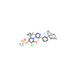 CC(=O)NC(C)(C)c1cccc(-c2ncc(C)c(-n3c(C)cc(OS(=O)(=O)C(F)(F)F)c(Cl)c3=O)c2F)c1F